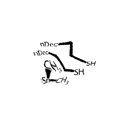 CCCCCCCCCCCCS.CCCCCCCCCCCCS.[CH3][Sn][CH3]